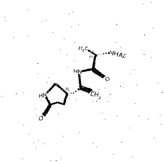 C=C(NC(=O)[C@H](C)NC(C)=O)[C@H]1CNC(=O)C1